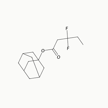 CCC(F)(F)CC(=O)OC12CC3CC(CC(C3)C1)C2